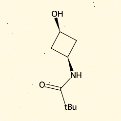 CC(C)(C)C(=O)N[C@H]1C[C@@H](O)C1